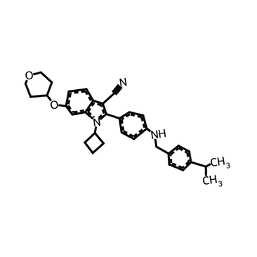 CC(C)c1ccc(CNc2ccc(-c3c(C#N)c4ccc(OC5CCOCC5)cc4n3C3CCC3)cc2)cc1